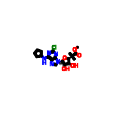 COC(=O)C(C)(C)[C@H]1O[C@@H](n2cnc3c(NC4CCCC4)nc(Cl)nc32)[C@H](O)[C@@H]1O